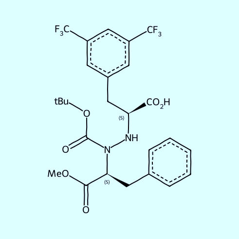 COC(=O)[C@H](Cc1ccccc1)N(N[C@@H](Cc1cc(C(F)(F)F)cc(C(F)(F)F)c1)C(=O)O)C(=O)OC(C)(C)C